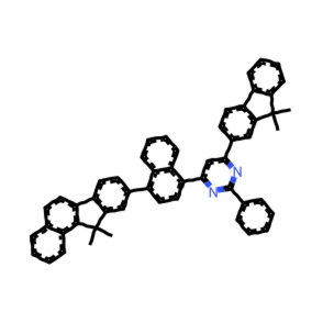 CC1(C)c2ccccc2-c2ccc(-c3cc(-c4ccc(-c5ccc6c(c5)C(C)(C)c5c-6ccc6ccccc56)c5ccccc45)nc(-c4ccccc4)n3)cc21